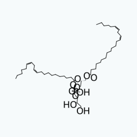 CCCCC/C=C\C/C=C\CCCCCCCCCCCC(=O)OC[C@H](COP(=O)(O)OC[C@@H](O)CO)OC(=O)CCCCCCCCC/C=C\C/C=C\CCCCC